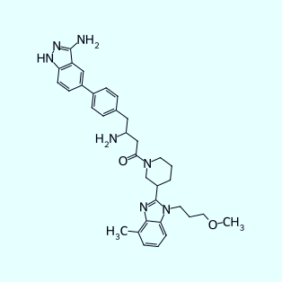 COCCCn1c(C2CCCN(C(=O)CC(N)Cc3ccc(-c4ccc5[nH]nc(N)c5c4)cc3)C2)nc2c(C)cccc21